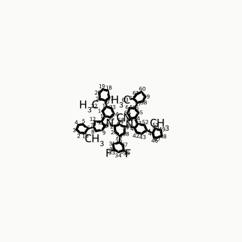 Cc1ccccc1-c1ccc2c(c1)c1cc(-c3ccccc3C)ccc1n2-c1cc(-c2cc(F)cc(F)c2)cc(-n2c3ccc(-c4ccccc4C)cc3c3cc(-c4ccccc4C)ccc32)c1C#N